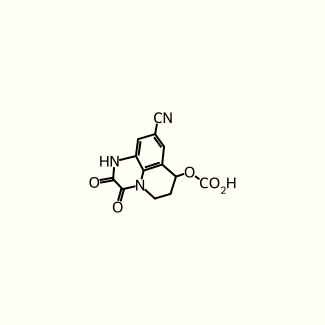 N#Cc1cc2c3c(c1)[nH]c(=O)c(=O)n3CCC2OC(=O)O